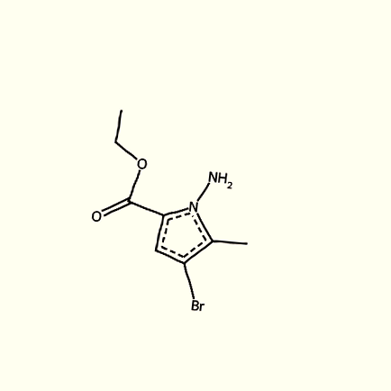 CCOC(=O)c1cc(Br)c(C)n1N